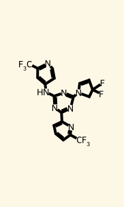 FC1(F)C=CN(c2nc(Nc3ccnc(C(F)(F)F)c3)nc(-c3cccc(C(F)(F)F)n3)n2)C1